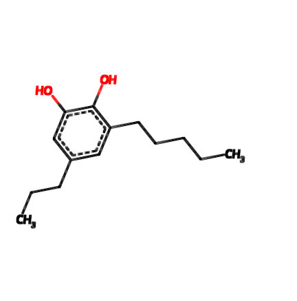 CCCCCc1cc(CCC)cc(O)c1O